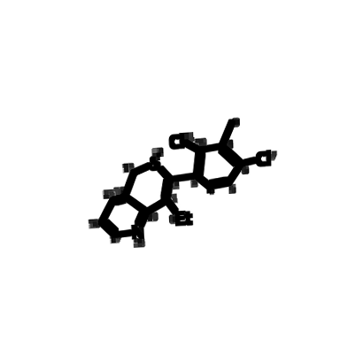 CCC1=C(c2ccc(Cl)c(C)c2Cl)SCc2cccnc21